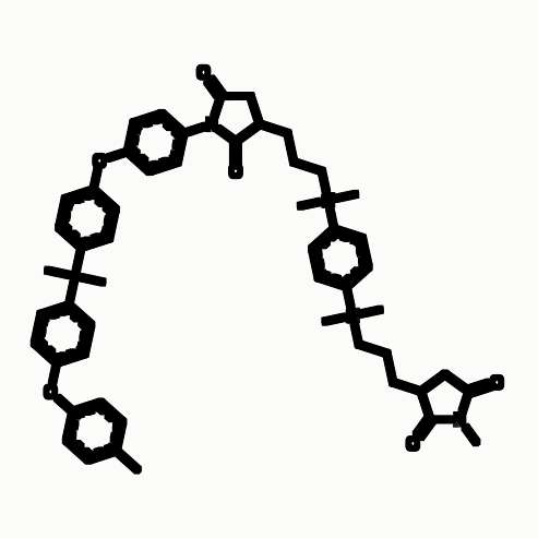 Cc1ccc(Oc2ccc(C(C)(C)c3ccc(Oc4ccc(N5C(=O)CC(CCC[Si](C)(C)c6ccc([Si](C)(C)CCCC7CC(=O)N(C)C7=O)cc6)C5=O)cc4)cc3)cc2)cc1